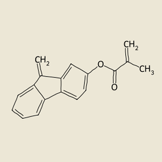 C=C(C)C(=O)Oc1ccc2c(c1)C(=C)c1ccccc1-2